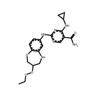 CCOOC1CNc2cc(Nc3ncc(C(N)=O)c(NC4CC4)n3)ccc2OC1